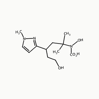 Cn1ccc(C(CCO)CC(C)(C)N(O)C(=O)O)n1